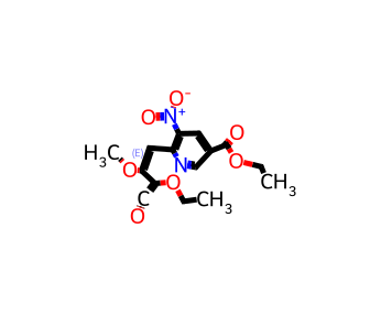 CCOC(=O)c1cnc(/C=C(/OC)C(=C=O)OCC)c([N+](=O)[O-])c1